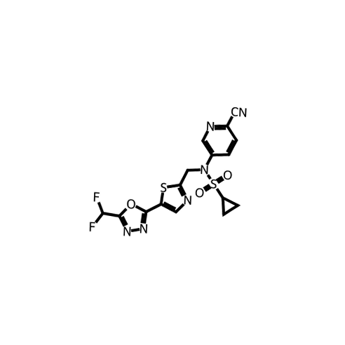 N#Cc1ccc(N(Cc2ncc(-c3nnc(C(F)F)o3)s2)S(=O)(=O)C2CC2)cn1